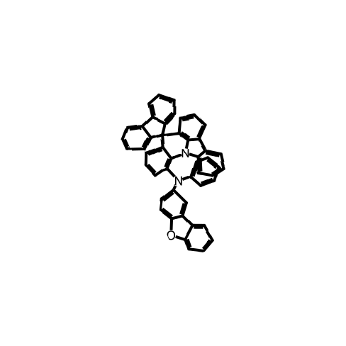 c1ccc(N(c2ccc3oc4ccccc4c3c2)c2cccc3c2-n2c4ccccc4c4cccc(c42)C32c3ccccc3-c3ccccc32)cc1